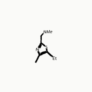 CCc1sc(CNC)nc1C